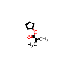 CC(C)C(=O)OC1CC=CC1